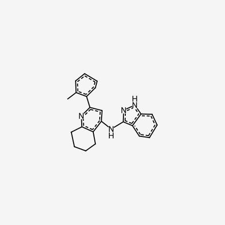 Cc1ccccc1-c1cc(Nc2n[nH]c3ccccc23)c2c(n1)CCCC2